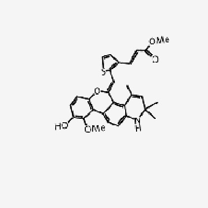 COC(=O)/C=C/c1ccsc1/C=C1\Oc2ccc(O)c(OC)c2-c2ccc3c(c21)C(C)=CC(C)(C)N3